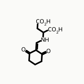 O=C(O)CC(NC=C1C(=O)CCCC1=O)C(=O)O